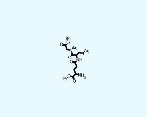 CC(=O)SCC(NC(=O)CCC(N)C(=O)OC(C)C)C(=O)N(CC(=O)OC(C)C)C(C)=O